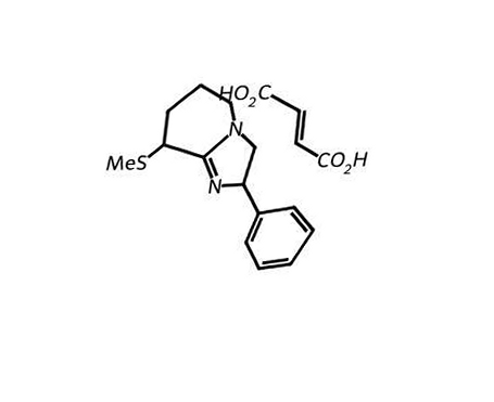 CSC1CCCN2CC(c3ccccc3)N=C12.O=C(O)C=CC(=O)O